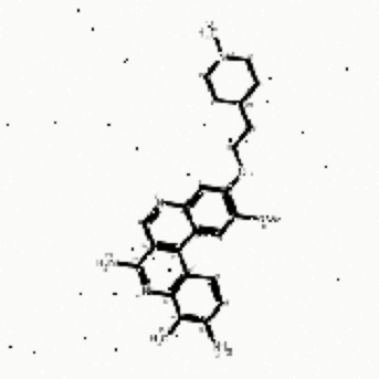 COc1cc2c(cc1OCCC1CCN(C)CC1)ncc1c(N)nc3c(C)c(N)ccc3c12